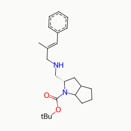 CC(=Cc1ccccc1)CNC[C@@H]1CC2CCCC2N1C(=O)OC(C)(C)C